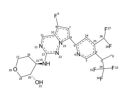 CC(c1cnc(-c2cc(F)c3cnc(N[C@@H]4CCOC[C@H]4O)nn23)cc1C(F)F)C(F)(F)F